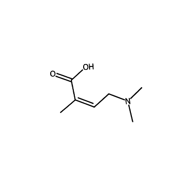 CC(=CCN(C)C)C(=O)O